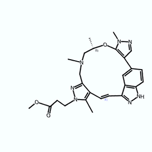 COC(=O)CCn1nc2c(c1C)/C=C/c1n[nH]c3ccc(cc13)-c1cnn(C)c1O[C@@H](C)CN(C)C2